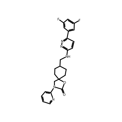 O=C1OC2(CCC(CNc3ccc(-c4cc(F)cc(F)c4)nn3)CC2)CN1c1ccccn1